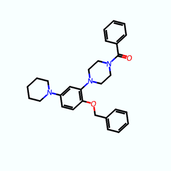 O=C(c1ccccc1)N1CCN(c2cc(N3CCCCC3)ccc2OCc2ccccc2)CC1